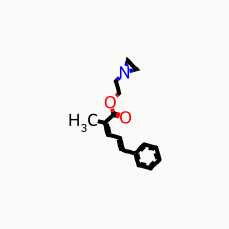 CC(=CC=Cc1ccccc1)C(=O)OCCN1CC1